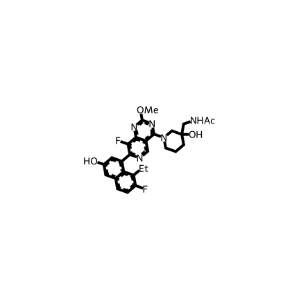 CCc1c(F)ccc2cc(O)cc(-c3ncc4c(N5CCCC(O)(CNC(C)=O)C5)nc(OC)nc4c3F)c12